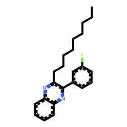 CCCCCCCCCc1nc2ccccc2nc1-c1cccc(F)c1